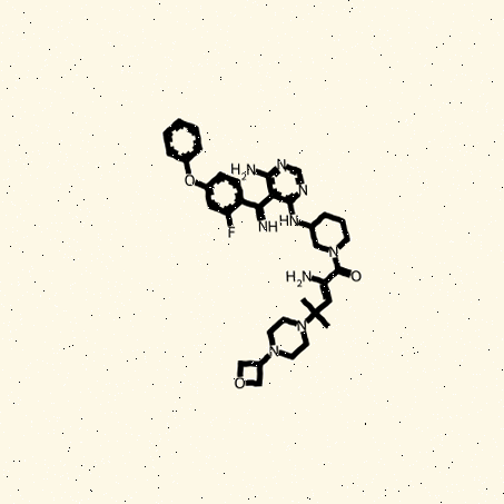 CC(C)(/C=C(\N)C(=O)N1CCCC(Nc2ncnc(N)c2C(=N)c2ccc(Oc3ccccc3)cc2F)C1)N1CCN(C2COC2)CC1